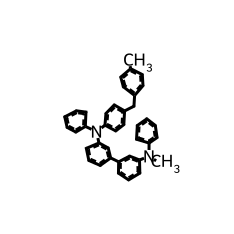 Cc1ccc(Cc2ccc(N(c3ccccc3)c3cccc(-c4cccc(N(C)c5ccccc5)c4)c3)cc2)cc1